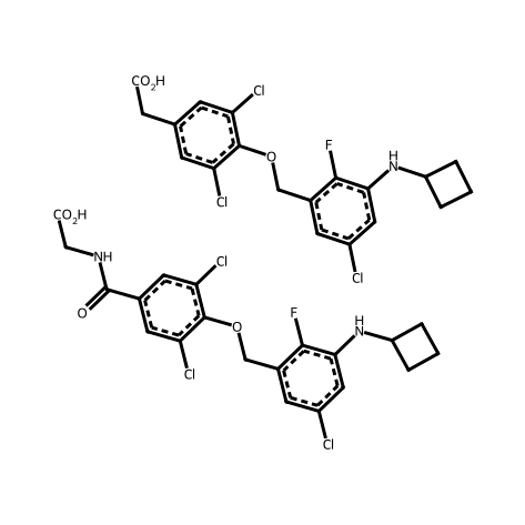 O=C(O)CNC(=O)c1cc(Cl)c(OCc2cc(Cl)cc(NC3CCC3)c2F)c(Cl)c1.O=C(O)Cc1cc(Cl)c(OCc2cc(Cl)cc(NC3CCC3)c2F)c(Cl)c1